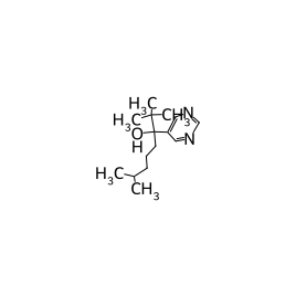 CC(C)CCCC(O)(c1cncnc1)C(C)(C)C